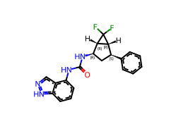 O=C(Nc1cccc2[nH]ncc12)N[C@@H]1C[C@H](c2ccccc2)[C@@H]2[C@H]1C2(F)F